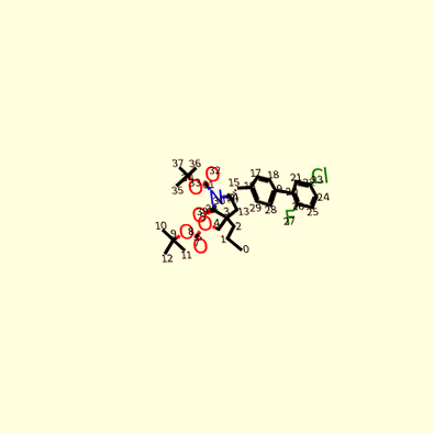 CCCC1(COC(=O)OC(C)(C)C)C[C@@H](Cc2ccc(-c3cc(Cl)ccc3F)cc2)N(C(=O)OC(C)(C)C)C1=O